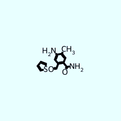 Cc1cc(C(N)=O)c(C=O)cc1N.c1ccsc1